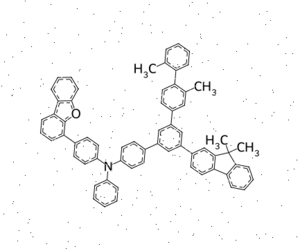 Cc1ccccc1-c1ccc(-c2cc(-c3ccc(N(c4ccccc4)c4ccc(-c5cccc6c5oc5ccccc56)cc4)cc3)cc(-c3ccc4c(c3)C(C)(C)c3ccccc3-4)c2)cc1C